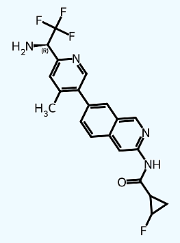 Cc1cc([C@@H](N)C(F)(F)F)ncc1-c1ccc2cc(NC(=O)C3CC3F)ncc2c1